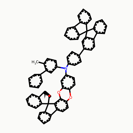 Cc1ccc(N(c2ccc(-c3ccc4c(c3)C3(c5ccccc5-c5ccccc53)c3ccccc3-4)cc2)c2ccc3c(c2)Oc2c(ccc4c2C2(c5ccccc5-c5ccccc52)c2ccccc2-4)O3)cc1-c1ccccc1